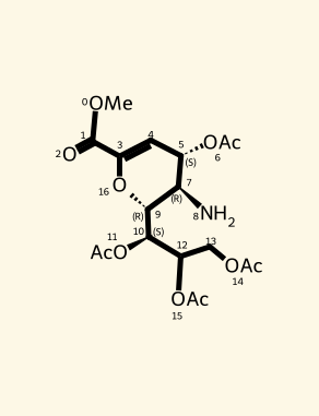 COC(=O)C1=C[C@H](OC(C)=O)[C@@H](N)[C@H]([C@H](OC(C)=O)C(COC(C)=O)OC(C)=O)O1